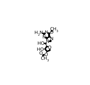 COc1nc(N)nc2c1ncn2C(O)[C@H]1OC[C@@H](OC(C)=O)[C@@H]1O